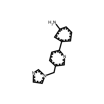 Nc1cccc(-c2ccc(Cn3ccnc3)cn2)c1